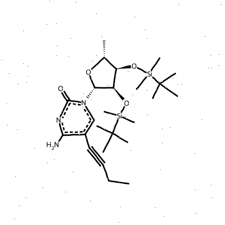 CCC#Cc1cn([C@@H]2O[C@H](C)[C@@H](O[Si](C)(C)C(C)(C)C)[C@H]2O[Si](C)(C)C(C)(C)C)c(=O)nc1N